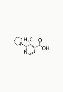 Cc1c(C(=O)O)ccnc1N1CCCC1